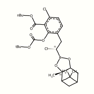 CCCCOC(=O)c1c(Cl)ccc(C[C@@H](Cl)B2OC3CC4CC(C4(C)C)[C@]3(C)O2)c1OC(=O)OC(C)(C)C